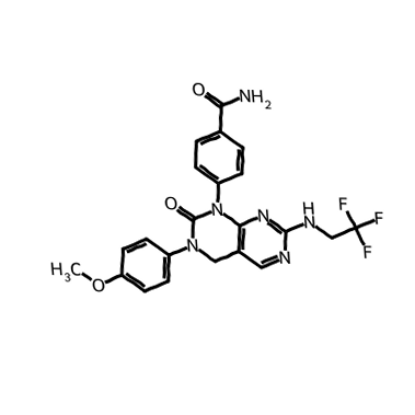 COc1ccc(N2Cc3cnc(NCC(F)(F)F)nc3N(c3ccc(C(N)=O)cc3)C2=O)cc1